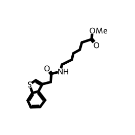 COC(=O)CCCCCNC(=O)Cc1csc2ccccc12